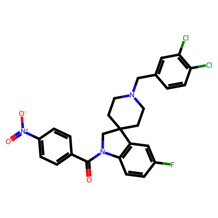 O=C(c1ccc([N+](=O)[O-])cc1)N1CC2(CCN(Cc3ccc(Cl)c(Cl)c3)CC2)c2cc(F)ccc21